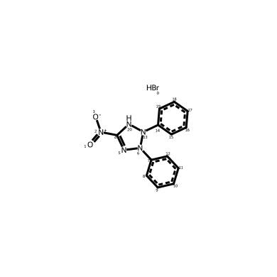 Br.O=[N+]([O-])C1=NN(c2ccccc2)N(c2ccccc2)N1